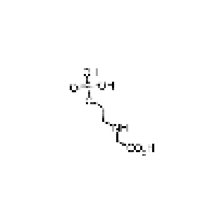 O=C(O)CNCCOP(=O)(O)O